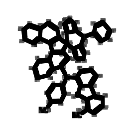 N#Cc1ccc(N(c2cc3c(c4ccccc24)-c2c(ccc4ccccc24)C32c3ccccc3N(c3ccccc3)c3ccccc32)c2cccc3c2oc2c(C#N)cccc23)cc1